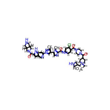 Cn1c(-c2cn(-c3cc4[nH]c(C(=O)N5C[C@H]6CNC[C@H]6C5)cc4cn3)nc2C(F)(F)F)cnc1C(=O)Nc1ccc(C(=O)N2CCN(C(=O)C3CC[N+](CC(=O)O)(CC4CNC4)CC3)CC2)c(Cl)c1